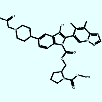 Cc1c(-c2c(C(C)C)c3cc(C4CCN(CC(N)=O)CC4)ccc3n2C(=O)OCC2CCCN2C(=O)OC(C)(C)C)cn2ncnc2c1C